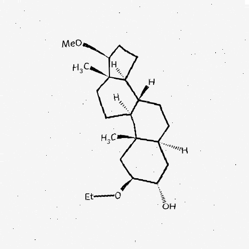 CCO[C@H]1C[C@@]2(C)[C@@H](CC[C@@H]3[C@@H]2CC[C@]2(C)[C@@H](OC)CC[C@@H]32)C[C@@H]1O